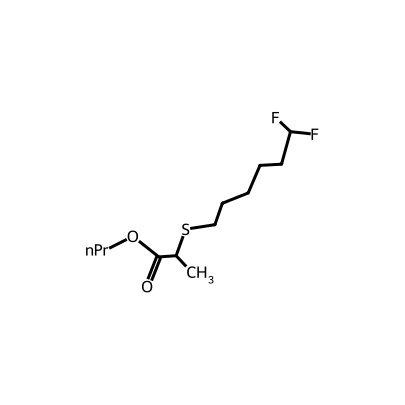 CCCOC(=O)C(C)SCCCCCC(F)F